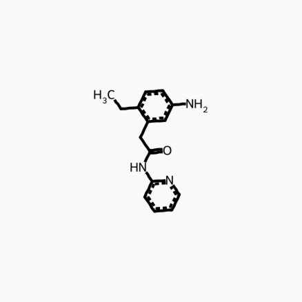 CCc1ccc(N)cc1CC(=O)Nc1ccccn1